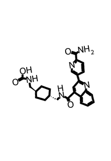 NC(=O)c1ccc(-c2cc(C(=O)NC[C@H]3CC[C@H](CNC(=O)O)CC3)c3ccccc3n2)cn1